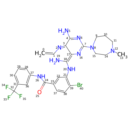 C=C/N=C1/C(N)=NC(N2CCCN(C)CC2)=N/C1=C(/N)Nc1cc(C(=O)Nc2cccc(C(F)(F)F)c2)ccc1Br